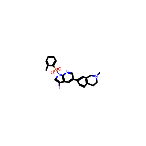 Cc1ccccc1S(=O)(=O)n1cc(I)c2cc(-c3ccc4c(c3)CN(C)CC4)cnc21